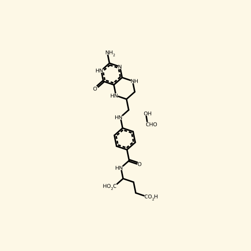 Nc1nc2c(c(=O)[nH]1)NC(CNc1ccc(C(=O)NC(CCC(=O)O)C(=O)O)cc1)CN2.O=CO